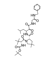 CC(C)CC(NC(=O)[C@@H]1CC(C)(C)CN1C(=O)[C@H](NC(=O)OC(C)(C)C)C(C)(C)C)C(=O)C(=O)NCC(=O)NCc1ccccc1